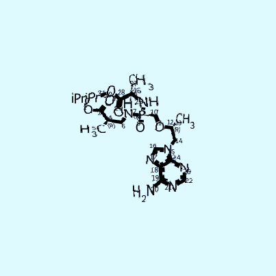 CC(C)OC(=O)[C@H](C)CN[P@](=O)(CO[C@H](C)Cn1cnc2c(N)ncnc21)N[C@@H](C)C(=O)OC(C)C